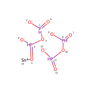 O=[PH]([O-])O[PH](=O)[O-].O=[PH]([O-])O[PH](=O)[O-].[Sn+4]